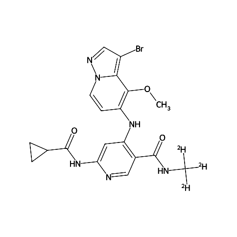 [2H]C([2H])([2H])NC(=O)c1cnc(NC(=O)C2CC2)cc1Nc1ccn2ncc(Br)c2c1OC